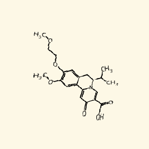 COCCOc1cc2c(cc1OC)-c1cc(=O)c(C(=O)O)cn1[C@H](C(C)C)C2